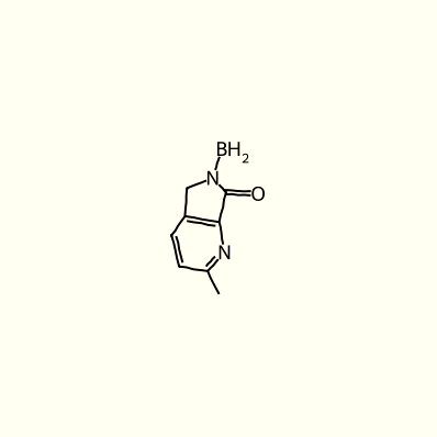 BN1Cc2ccc(C)nc2C1=O